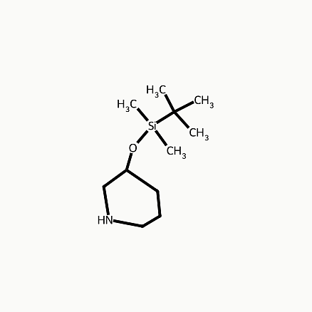 CC(C)(C)[Si](C)(C)OC1CCCNC1